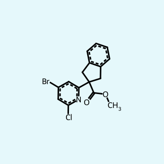 COC(=O)C1(c2cc(Br)cc(Cl)n2)Cc2ccccc2C1